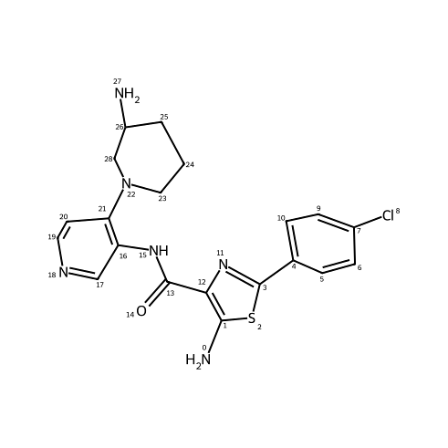 Nc1sc(-c2ccc(Cl)cc2)nc1C(=O)Nc1cnccc1N1CCCC(N)C1